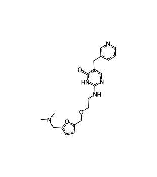 CN(C)Cc1ccc(COCCNc2ncc(Cc3cccnc3)c(=O)[nH]2)o1